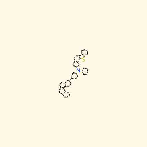 c1ccc(N(c2ccc(-c3ccc4c(ccc5ccc6ccccc6c54)c3)cc2)c2ccc3ccc4c5ccccc5sc4c3c2)cc1